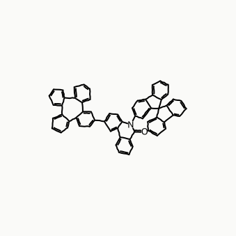 O=c1c2ccccc2c2cc(-c3ccc4c(c3)-c3ccccc3-c3ccccc3-c3ccccc3-4)ccc2n1-c1ccc2c(c1)C1(c3ccccc3-c3ccccc31)c1ccccc1-2